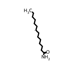 CCCCCC[CH]CCCCCCC(N)=O